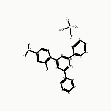 Cc1cc(N(C)C)ccc1-c1cc(-c2ccccc2)[o+]c(-c2ccccc2)c1.[O-][Cl+3]([O-])([O-])[O-]